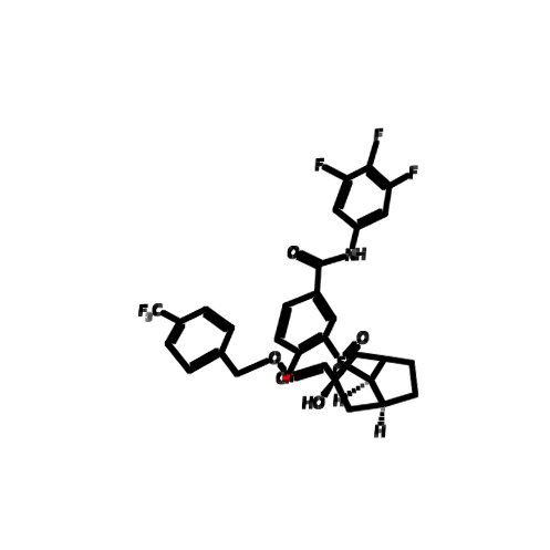 O=C(Nc1cc(F)c(F)c(F)c1)c1ccc(Cl)c(S(=O)(=O)[C@H]2C3CC[C@H]2C[C@](O)(/C=N/OCc2ccc(C(F)(F)F)cc2)C3)c1